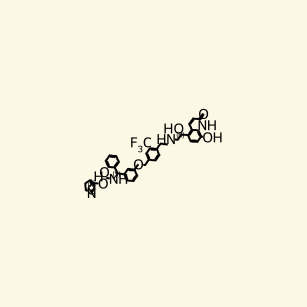 O=C(N[C@@H](c1ccccc1)c1cccc(OCc2ccc(CCNC[C@H](O)c3ccc(O)c4[nH]c(=O)ccc34)c(C(F)(F)F)c2)c1)O[C@H]1CN2CCC1CC2